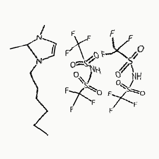 CCCCCCN1C=CN(C)C1C.O=S(=O)(NS(=O)(=O)C(F)(F)F)C(F)(F)F.O=S(=O)(NS(=O)(=O)C(F)(F)F)C(F)(F)F